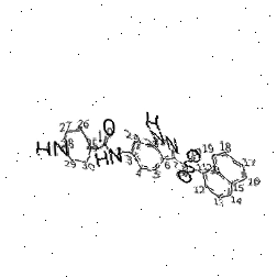 O=C(Nc1ccc2c(S(=O)(=O)c3cccc4ccccc34)n[nH]c2c1)C1CCNCC1